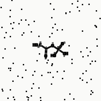 O=C(O)C(=O)OP(=O)(O)O